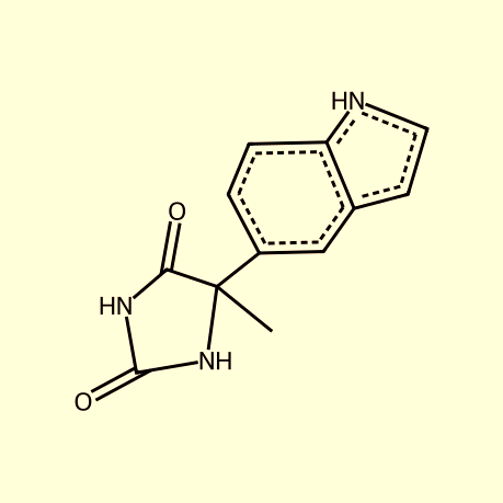 CC1(c2ccc3[nH]ccc3c2)NC(=O)NC1=O